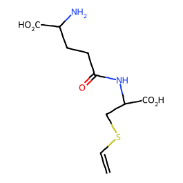 C=CSCC(NC(=O)CCC(N)C(=O)O)C(=O)O